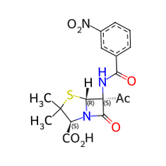 CC(=O)[C@]1(NC(=O)c2cccc([N+](=O)[O-])c2)C(=O)N2[C@@H](C(=O)O)C(C)(C)S[C@@H]21